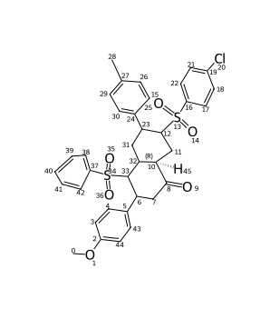 COc1ccc(C2CC(=O)[C@@H]3CC(S(=O)(=O)c4ccc(Cl)cc4)C(c4ccc(C)cc4)CC3C2S(=O)(=O)c2ccccc2)cc1